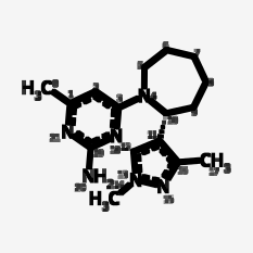 Cc1cc(N2CCCCC[C@@H]2c2cn(C)nc2C)nc(N)n1